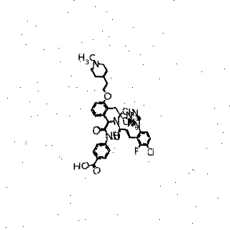 CN1CCC(CCOc2cccc3c2CC(C)(C)N(C(=O)C=Cc2c(-n4cnnn4)ccc(Cl)c2F)C3C(=O)Nc2ccc(C(=O)O)cc2)CC1